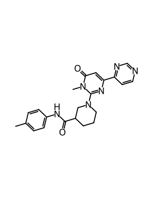 Cc1ccc(NC(=O)C2CCCN(c3nc(-c4ccncn4)cc(=O)n3C)C2)cc1